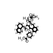 CC(=O)N1CCN(c2cccc3c2CC(CN(C)[C@H]2CCCc4cccnc42)N(C(=O)OC(C)(C)C)C3)CC1